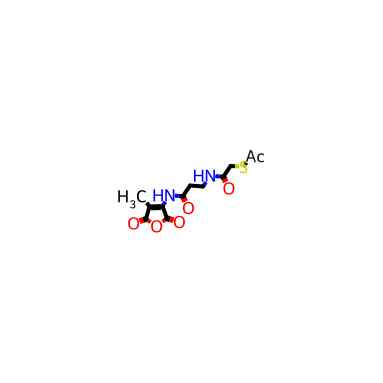 CC(=O)SCC(=O)NCCC(=O)NC1=C(C)C(=O)OC1=O